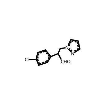 O=CC(Cn1cccn1)c1ccc(Cl)cc1